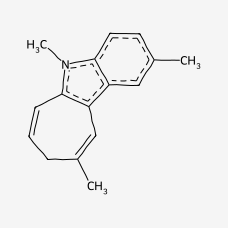 CC1=Cc2c(n(C)c3ccc(C)cc23)C=CC1